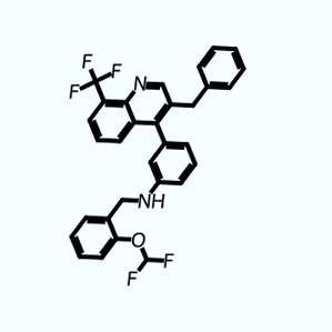 FC(F)Oc1ccccc1CNc1cccc(-c2c(Cc3ccccc3)cnc3c(C(F)(F)F)cccc23)c1